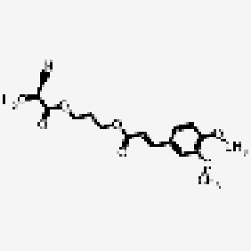 C=C(C#N)C(=O)OCCCOC(=O)/C=C/c1ccc(OC)c(OC)c1